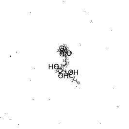 CCCCC[C@H](O)/C=C/[C@@H]1[C@@H](C/C=C\CCCC(=O)N(CC)S(C)(=O)=O)[C@@H](O)C[C@H]1O